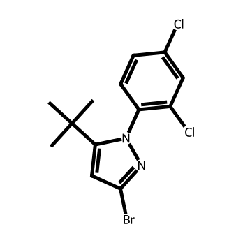 CC(C)(C)c1cc(Br)nn1-c1ccc(Cl)cc1Cl